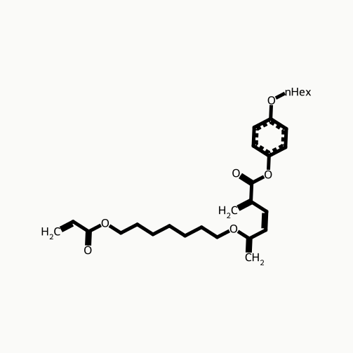 C=CC(=O)OCCCCCCCOC(=C)/C=C\C(=C)C(=O)Oc1ccc(OCCCCCC)cc1